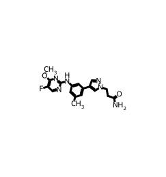 COc1nc(Nc2cc(C)cc(-c3cnn(CCC(N)=O)c3)c2)ncc1F